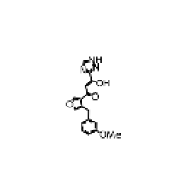 COc1cccc(Cc2cocc2C(=O)C=C(O)c2nc[nH]n2)c1